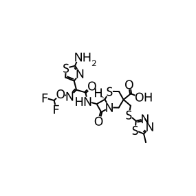 Cc1nnc(SCC2(C(=O)O)CS[C@@H]3C(NC(=O)C(=NOC(F)F)c4csc(N)n4)C(=O)N3C2)s1